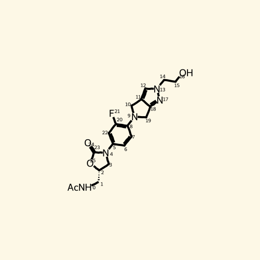 CC(=O)NC[C@H]1CN(c2ccc(N3Cc4cn(CCO)nc4C3)c(F)c2)C(=O)O1